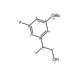 C[C](CO)c1cc(F)cc(OCC(C)C)c1